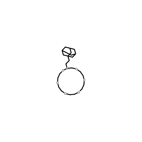 C1COCCOCCON(CCC23CC4CC(CC(C4)C2)C3)COCCOCCO1